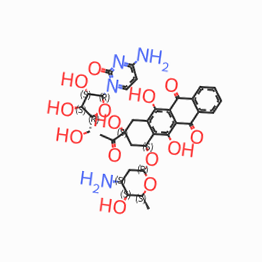 CC(=O)[C@]1(O)Cc2c(O)c3c(c(O)c2[C@@H](O[C@H]2C[C@H](N)[C@H](O)[C@H](C)O2)C1)C(=O)c1ccccc1C3=O.Nc1ccn([C@@H]2O[C@H](CO)[C@@H](O)[C@@H]2O)c(=O)n1